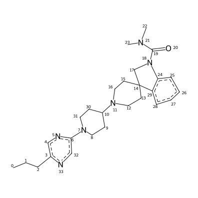 CCCc1cnc(N2CCC(N3CCC4(CC3)CN(C(=O)N(C)C)c3ccccc34)CC2)cn1